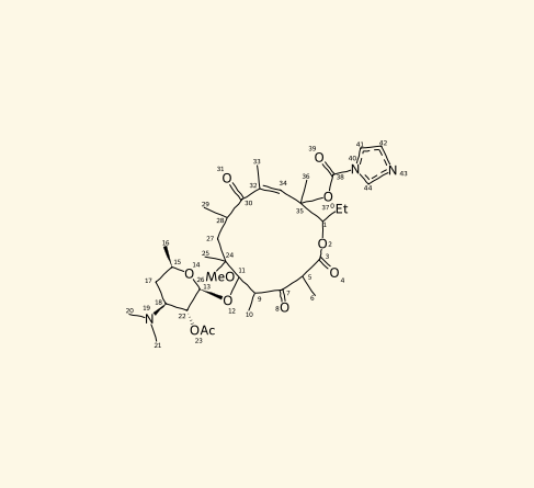 CCC1OC(=O)C(C)C(=O)C(C)C(O[C@@H]2O[C@H](C)C[C@H](N(C)C)[C@H]2OC(C)=O)C(C)(OC)CC(C)C(=O)C(C)=CC1(C)OC(=O)n1ccnc1